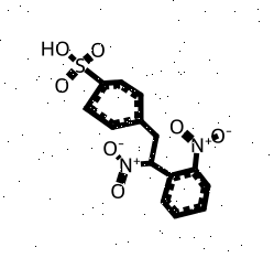 O=[N+]([O-])c1ccccc1C(Cc1ccc(S(=O)(=O)O)cc1)[N+](=O)[O-]